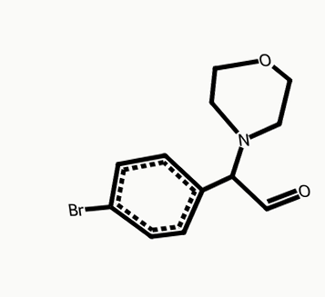 O=CC(c1ccc(Br)cc1)N1CCOCC1